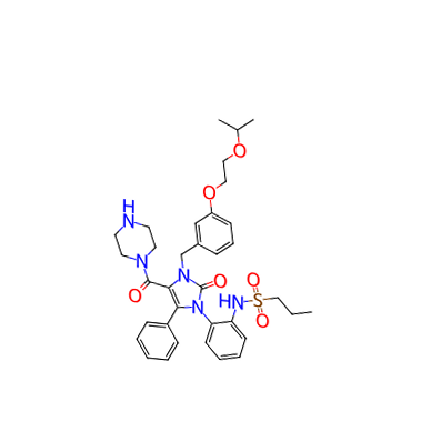 CCCS(=O)(=O)Nc1ccccc1-n1c(-c2ccccc2)c(C(=O)N2CCNCC2)n(Cc2cccc(OCCOC(C)C)c2)c1=O